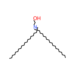 CCCCCCCCCCCCCCCCCCC1(CCCCCCCCCCCCCCCCCC)CN(CCCO)C1